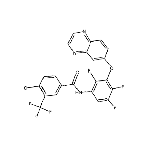 O=C(Nc1cc(F)c(F)c(Oc2ccc3nccnc3c2)c1F)c1ccc(Cl)c(C(F)(F)F)c1